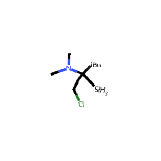 CCC(C)C([SiH3])(CCl)N(C)C